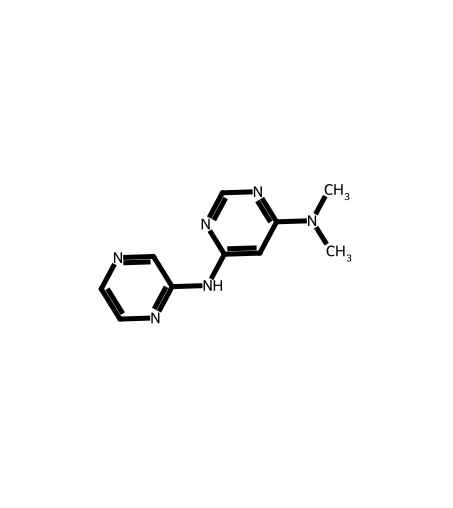 CN(C)c1cc(Nc2cnccn2)ncn1